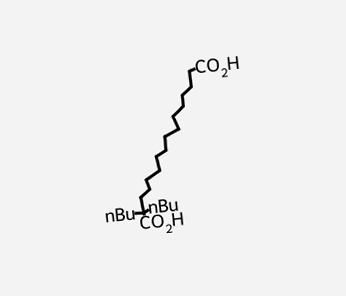 CCCCC(CCCC)(CCCCCCCCCCCCCC(=O)O)C(=O)O